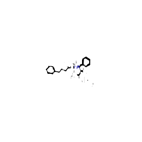 NC(=O)C1=Nc2ccccc2/C1=[N+](\[O-])NC(=O)[CH]CCc1ccccc1